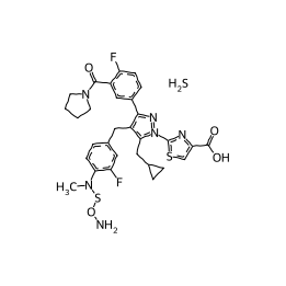 CN(SON)c1ccc(Cc2c(-c3ccc(F)c(C(=O)N4CCCC4)c3)nn(-c3nc(C(=O)O)cs3)c2CC2CC2)cc1F.S